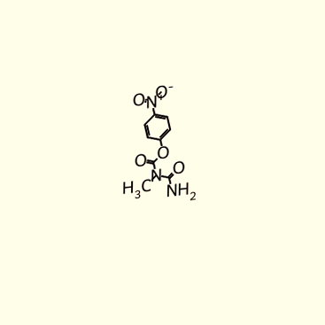 CN(C(N)=O)C(=O)Oc1ccc([N+](=O)[O-])cc1